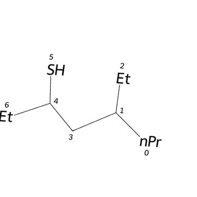 CCCC(CC)CC(S)CC